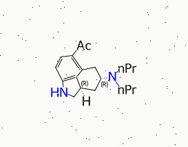 CCCN(CCC)[C@H]1Cc2c(C(C)=O)ccc3c2[C@H](CN3)C1